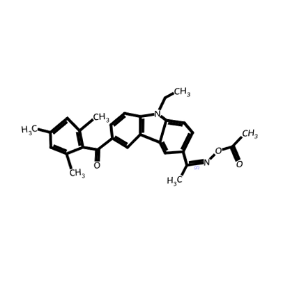 CCn1c2ccc(C(=O)c3c(C)cc(C)cc3C)cc2c2cc(/C(C)=N\OC(C)=O)ccc21